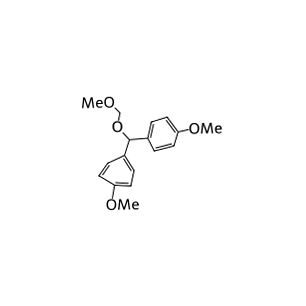 COCOC(c1ccc(OC)cc1)c1ccc(OC)cc1